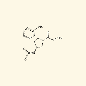 CC(C)(C)OC(=O)N1CC[C@H](N=S(=O)=O)C1.O=[N+]([O-])c1ccccc1